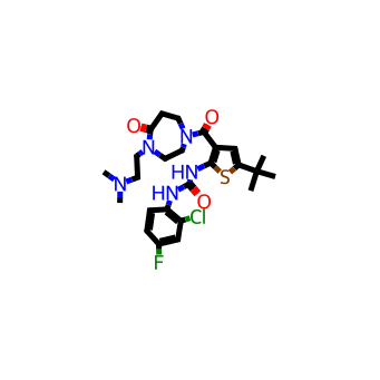 CN(C)CCN1CCN(C(=O)c2cc(C(C)(C)C)sc2NC(=O)Nc2ccc(F)cc2Cl)CCC1=O